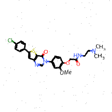 COc1cc(-n2cnc3cc(-c4ccc(Cl)cc4)sc3c2=O)ccc1OCC(=O)NCCN(C)C